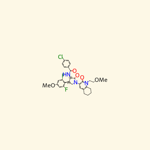 COCCn1c2c(cc(N3C[C@@H](c4c(F)cc(OC)cc4F)[C@H](NC(=O)c4ccc(Cl)cc4)C3=O)c1=O)CCCC2